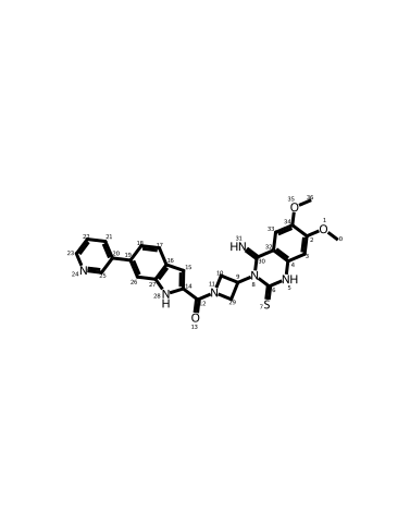 COc1cc2[nH]c(=S)n(C3CN(C(=O)c4cc5ccc(-c6cccnc6)cc5[nH]4)C3)c(=N)c2cc1OC